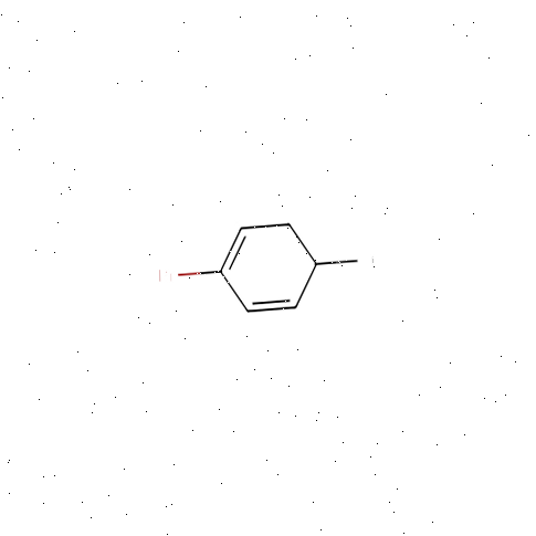 CCC1C=CC(Br)=CC1